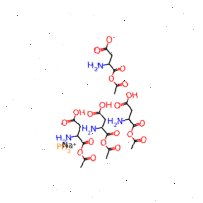 CC(=O)OC(=O)C(N)CC(=O)O.CC(=O)OC(=O)C(N)CC(=O)O.CC(=O)OC(=O)C(N)CC(=O)O.CC(=O)OC(=O)C(N)CC(=O)[O-].P.[Na+]